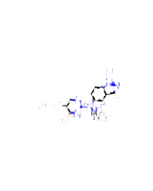 O=C([O-])c1cnc(Nc2ccc3[nH]ncc3c2)nc1[O-].[Na+].[Na+]